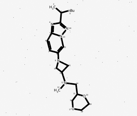 CCCCC(C)c1nc2ccc(N3CC(N(C)CC4COCCO4)C3)cn2n1